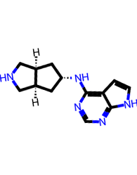 c1nc(N[C@@H]2C[C@H]3CNC[C@H]3C2)c2cc[nH]c2n1